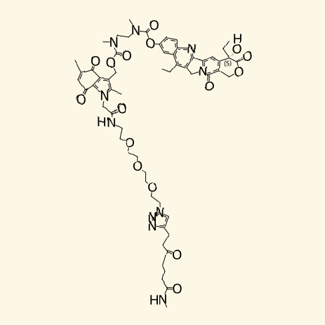 CCc1c2c(nc3ccc(OC(=O)N(C)CCN(C)C(=O)OCc4c5c(n(CC(=O)NCCOCCOCCOCCn6cc(CCC(=O)CCCC(=O)NC)nn6)c4C)C(=O)C=C(C)C5=O)cc13)-c1cc3c(c(=O)n1C2)COC(=O)[C@]3(O)CC